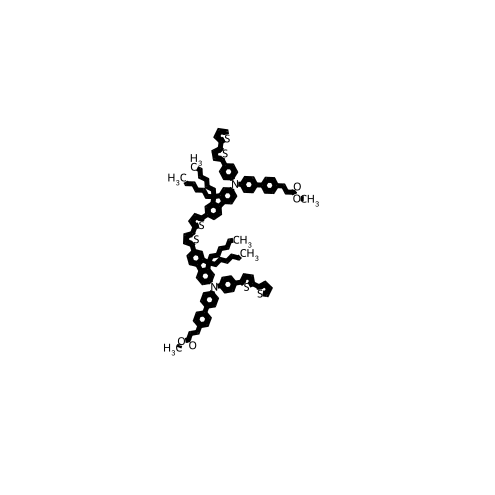 CCCCCCC1(CCCCCC)c2cc(-c3ccc(-c4ccc(-c5ccc6c(c5)C(CCCCCC)(CCCCCC)c5cc(N(c7ccc(-c8ccc(CCC(=O)OC)cc8)cc7)c7ccc(-c8ccc(-c9cccs9)s8)cc7)ccc5-6)s4)s3)ccc2-c2ccc(N(c3ccc(-c4ccc(CCC(=O)OC)cc4)cc3)c3ccc(-c4ccc(-c5cccs5)s4)cc3)cc21